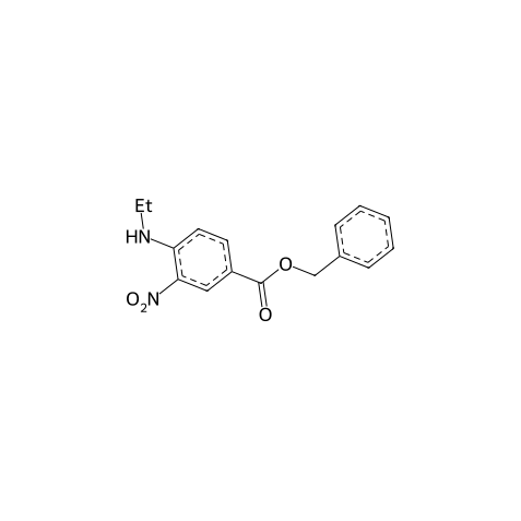 CCNc1ccc(C(=O)OCc2ccccc2)cc1[N+](=O)[O-]